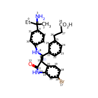 CCC(C)(N)c1ccc(N/C(=C2\C(=O)Nc3cc(Br)ccc32)c2cccc(CCC(=O)O)c2)cc1